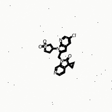 O=C1N(Cc2cc3cc(Cl)cnc3n2C2CCS(=O)(=O)C2)c2cnccc2C12CC2